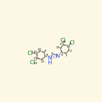 Clc1ccc(/N=C/Nc2ccc(Cl)c(Cl)c2)cc1Cl